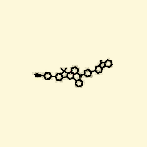 CC(C)(C)c1ccc(-c2ccc3c(c2)C(C)(C)c2ccc(-c4ccccc4N(c4ccccc4)c4ccc(-c5ccc6c(c5)sc5ccccc56)cc4)cc2-3)cc1